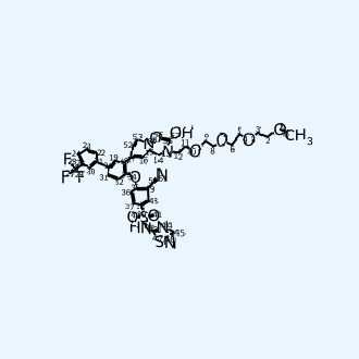 COCCOCCOCCOCCN(Cc1cc(-c2cc(-c3cccc(C(F)(F)F)c3)ccc2Oc2ccc(S(=O)(=O)Nc3ncns3)cc2C#N)ccn1)C(=O)O